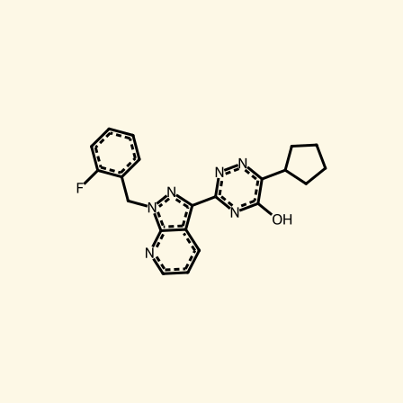 Oc1nc(-c2nn(Cc3ccccc3F)c3ncccc23)nnc1C1CCCC1